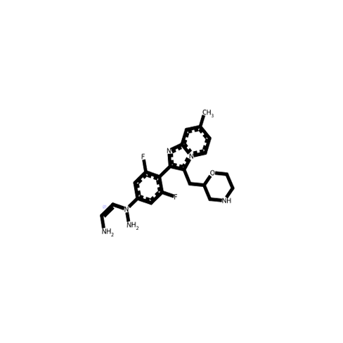 Cc1ccn2c(CC3CNCCO3)c(-c3c(F)cc(N(N)/C=C\N)cc3F)nc2c1